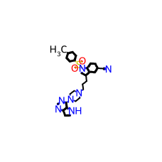 Cc1ccc(S(=O)(=O)n2cc(CCCN3CCN(c4ncnc5cc[nH]c45)CC3)c3cc(C#N)ccc32)cc1